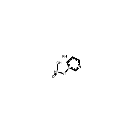 O=[PH](O)O[n+]1cccnc1.[KH]